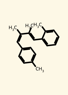 CC(=Cc1ccc(C)cc1)C(C)=Cc1ccccc1C